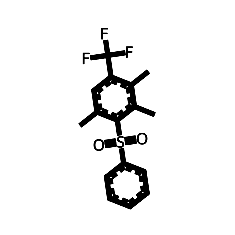 Cc1cc(C(F)(F)F)c(C)c(C)c1S(=O)(=O)c1ccccc1